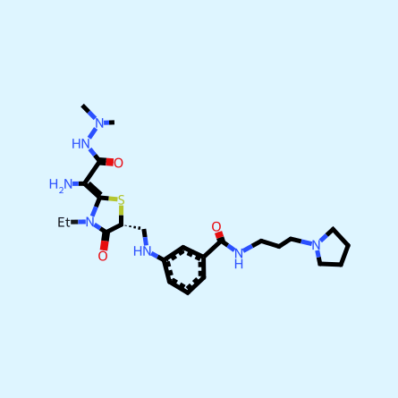 CCN1C(=O)[C@@H](CNc2cccc(C(=O)NCCCN3CCCC3)c2)S/C1=C(/N)C(=O)NN(C)C